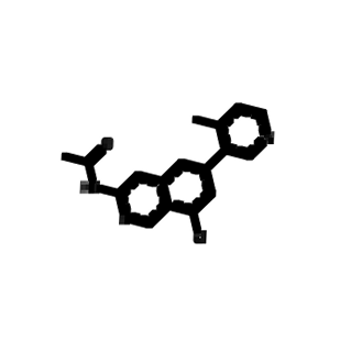 CC(=O)Nc1cc2cc(-c3cnccc3C)cc(Cl)c2cn1